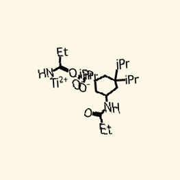 CC(C)[O-].CC(C)[O-].CCC(=O)NC1CCCC(C(C)C)(C(C)C)C1.CCC(=O)[NH][Ti+2]